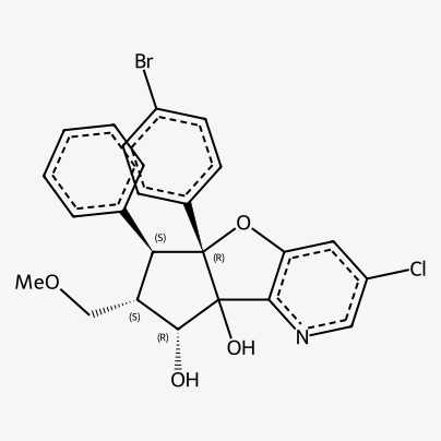 COC[C@H]1[C@@H](O)C2(O)c3ncc(Cl)cc3O[C@@]2(c2ccc(Br)cc2)[C@@H]1c1ccccc1